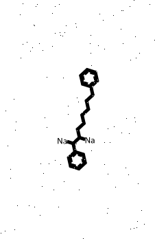 [Na][CH](CCCCCCc1ccccc1)[CH]([Na])c1ccccc1